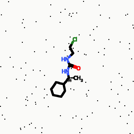 C[C@@H](NC(=O)NCCCl)C1CCCCC1